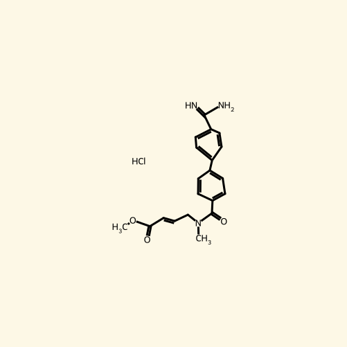 COC(=O)C=CCN(C)C(=O)c1ccc(-c2ccc(C(=N)N)cc2)cc1.Cl